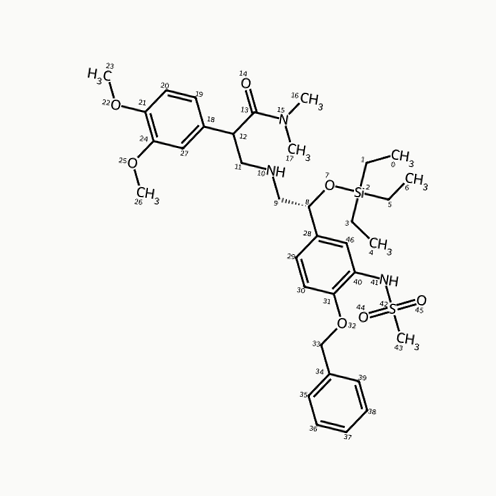 CC[Si](CC)(CC)O[C@@H](CNCC(C(=O)N(C)C)c1ccc(OC)c(OC)c1)c1ccc(OCc2ccccc2)c(NS(C)(=O)=O)c1